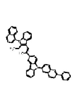 C=Cc1c(/C=C(\C)c2ccc3c(c2)c2ccccc2n3-c2ccc3cc(-c4ccccc4)ccc3c2)c2ccccc2n1-c1cccc2ccccc12